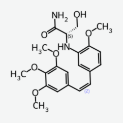 COc1ccc(/C=C\c2cc(OC)c(OC)c(OC)c2)cc1N[C@@H](CO)C(N)=O